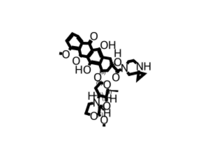 COc1cccc2c1C(=O)c1c(O)c3c(c(O)c1C2=O)C[C@@](O)(C(=O)N1CCNC2(CC2)C1)C[C@@H]3O[C@H]1C[C@H]2[C@H](O[C@@H]3[C@@H](OC)OCCN32)[C@H](C)O1